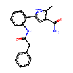 Cc1[nH]c(-c2ccccc2NC(=O)Cc2ccccc2)cc1C(N)=O